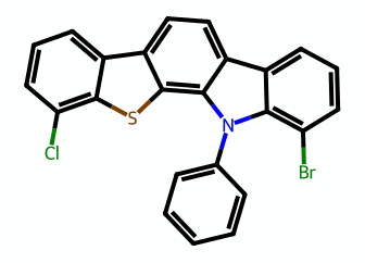 Clc1cccc2c1sc1c2ccc2c3cccc(Br)c3n(-c3ccccc3)c21